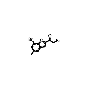 Cc1cc(Br)c2oc(C(=O)CBr)cc2c1